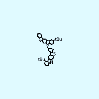 Cn1c2cc3sc4ccc(Cn5c6ccc(C(C)(C)C)cc6c6cc7c(cc65)sc5ccccc57)cc4c3cc2c2c(C(C)(C)C)cccc21